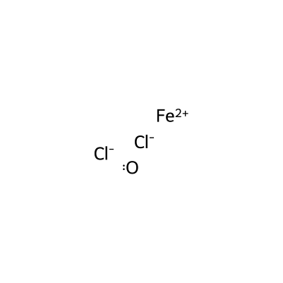 [Cl-].[Cl-].[Fe+2].[O]